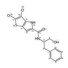 O=C(NC(CO)Cc1ccccc1)c1cc2sc(Cl)c(Cl)c2[nH]1